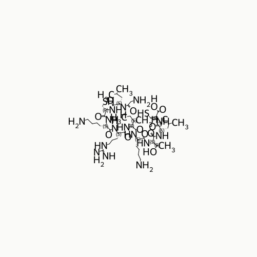 CC[C@H](C)[C@H](NC(=O)[C@H](CCCNC(=N)N)NC(=O)[C@H](CCCCN)NC(=O)[C@H](CS)NC(=O)[C@H](CC(C)C)NC(=O)CN)C(=O)N[C@@H](CCCCN)C(=O)N[C@H](C(=O)N[C@@H](CC(C)C)C(=O)N[C@@H](CS)C(=O)O)[C@@H](C)O